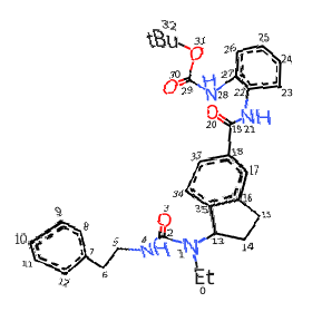 CCN(C(=O)NCCc1ccccc1)C1CCc2cc(C(=O)Nc3ccccc3NC(=O)OC(C)(C)C)ccc21